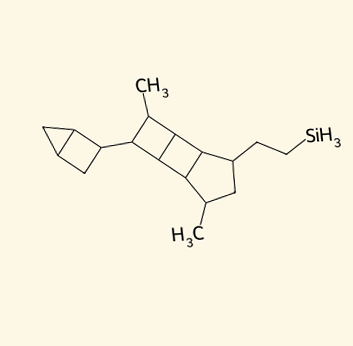 CC1CC(CC[SiH3])C2C1C1C(C3CC4CC43)C(C)C21